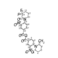 CC1CCCCN1c1ccc(C(=O)OC(=O)c2ccc(N3CCCC(F)(F)C3)c([N+](=O)[O-])c2)cc1[N+](=O)[O-]